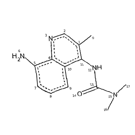 Cc1cnc2c(N)cccc2c1NC(=O)N(C)C